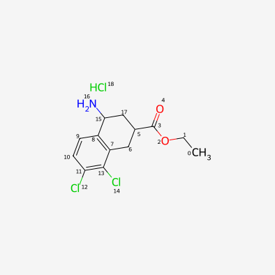 CCOC(=O)C1Cc2c(ccc(Cl)c2Cl)C(N)C1.Cl